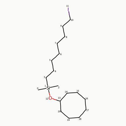 C[Si](C)(CCCCCCCCI)OC1CCCCCCC1